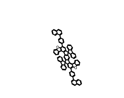 c1ccc2c(c1)-c1ccccc1C21c2cc3c(cc2-c2c1cc(-c1ccc(-c4cccc5ccccc45)cc1)c1oc4ccccc4c21)C1(c2ccccc2-c2ccccc21)c1cc(-c2ccc(-c4cccc5ccccc45)cc2)c2oc4ccccc4c2c1-3